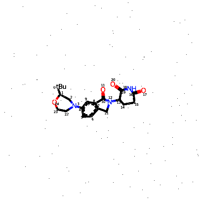 CC(C)(C)C1CN(c2ccc3c(c2)C(=O)N(C2CCC(=O)NC2=O)C3)CCO1